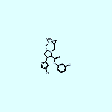 O=CNC[C@H]1CC(c2cc(Cl)cs2)C(C(=O)Nc2cccc(Cl)c2)N1CC1CC1